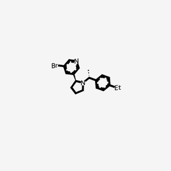 CCc1ccc([C@@H](C)N2CCC[C@H]2c2cncc(Br)c2)cc1